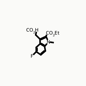 CCOC(=O)c1c(CC(=O)O)c2cc(F)ccc2n1C